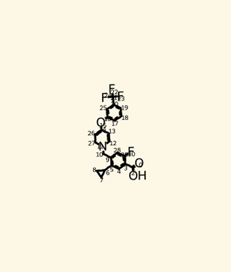 O=C(O)c1cc(C2CC2)c(CN2C=CC(Oc3cccc(C(F)(F)F)c3)=CC2)cc1F